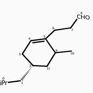 CC(C)C[C@@H]1CC=C(CCC=O)C(C)C1